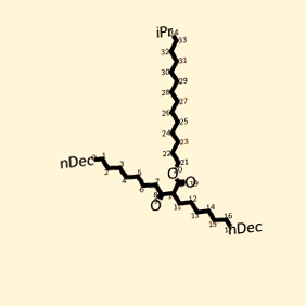 CCCCCCCCCCCCCCCCCC(=O)C(CCCCCCCCCCCCCCCC)C(=O)OCCCCCCCCCCCCCC(C)C